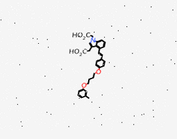 Cc1cccc(OCCCCOc2ccc(C=Cc3cccc4c3c(CC(=O)O)cn4CC(=O)O)cc2)c1